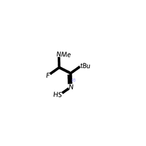 CNC(F)/C(=N\S)C(C)(C)C